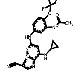 CC(=O)Nc1cc(Nc2cc(NC3CC3)c3ncc(C#N)n3n2)ccc1OC(F)(F)F